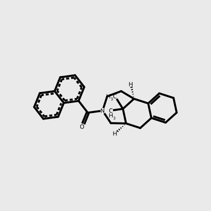 CC1(C)[C@H]2CC3=CCCC=C3[C@@H]1CCN(C(=O)c1cccc3ccccc13)C2